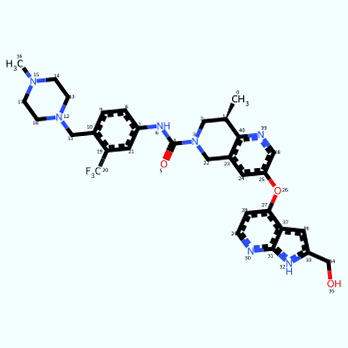 C[C@@H]1CN(C(=O)Nc2ccc(CN3CCN(C)CC3)c(C(F)(F)F)c2)Cc2cc(Oc3ccnc4[nH]c(CO)cc34)cnc21